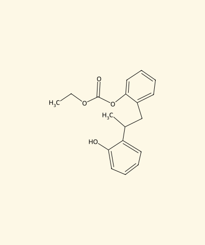 CCOC(=O)Oc1ccccc1CC(C)c1ccccc1O